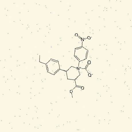 CCc1ccc(C2CC(C(=O)OC)C[N+](C(=O)[O-])(c3ccc([N+](=O)[O-])cc3)C2)cc1